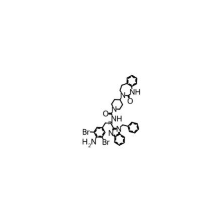 Nc1c(Br)cc(C[C@@H](NC(=O)N2CCC(N3CCc4ccccc4NC3=O)CC2)c2nc3ccccc3n2Cc2ccccc2)cc1Br